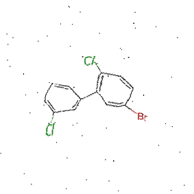 Clc1cc[c]c(-c2cc(Br)ccc2Cl)c1